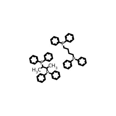 CC(C(C)P(c1ccccc1)c1ccccc1)P(c1ccccc1)c1ccccc1.c1ccc(P(CCCCP(c2ccccc2)c2ccccc2)c2ccccc2)cc1